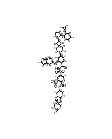 CN1CCS(=O)(=NC2CCC(CNc3ncc(S(=O)(=O)NC(=O)c4ccc(N5CCC6(CC5)CC(N5CCC[C@H]5c5ccccc5C5CC5)C6)cc4Oc4cnc5[nH]ccc5c4)cc3[N+](=O)[O-])CC2)CC1